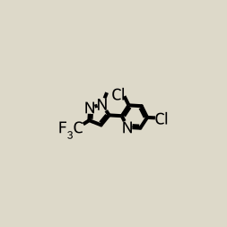 Cn1nc(C(F)(F)F)cc1-c1ncc(Cl)cc1Cl